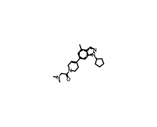 Cc1cc(C2=CCN(C(=O)CN(C)C)CC2)cc2c1cnn2C1CCCC1